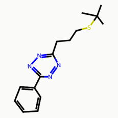 CC(C)(C)SCCCc1nnc(-c2ccccc2)nn1